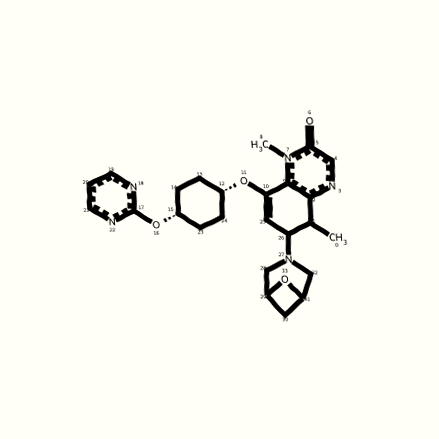 CC1c2ncc(=O)n(C)c2C(O[C@H]2CC[C@@H](Oc3ncccn3)CC2)=CC1N1CC2CC(C1)O2